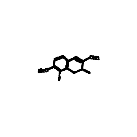 COc1ccc2c(c1F)CC(C)C(C=O)=C2